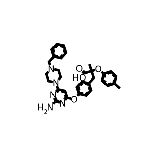 Cc1ccc(OC(C)(Cc2ccc(Oc3cc(N4CCN(Cc5ccccc5)CC4)nc(N)n3)cc2)C(=O)O)cc1